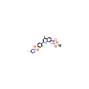 Cc1cc(-c2ccc(S(=O)(=O)N3CC[C@H](F)C3)cc2F)nc2cc(C(=O)NS(=O)(=O)C3CC3)ccc12